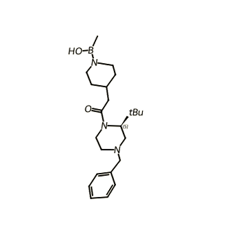 CB(O)N1CCC(CC(=O)N2CCN(Cc3ccccc3)C[C@@H]2C(C)(C)C)CC1